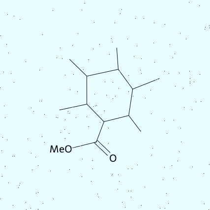 COC(=O)C1C(C)C(C)C(C)C(C)C1C